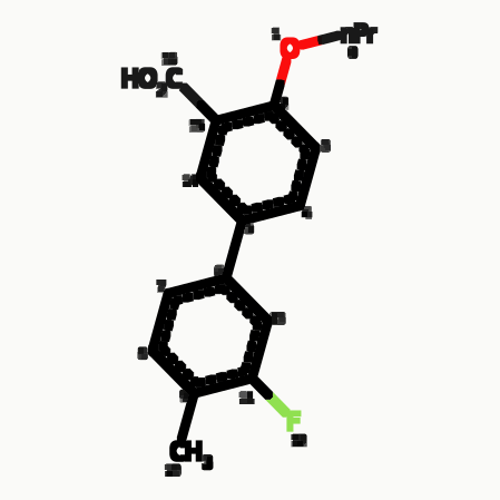 CCCOc1ccc(-c2ccc(C)c(F)c2)cc1C(=O)O